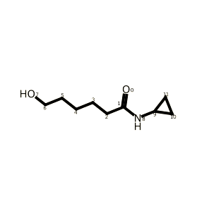 O=C(CCCCCO)NC1CC1